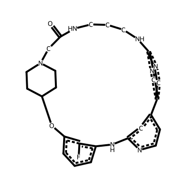 O=C1CN2CCC(CC2)Oc2cccc(c2F)Nc2cc(ccn2)-c2cnc(nc2)NCCCN1